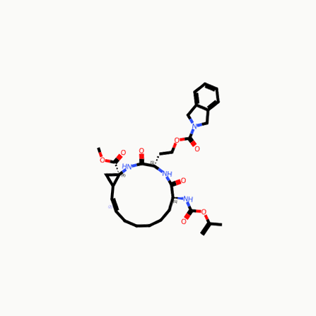 C=C(C)OC(=O)N[C@H]1CCCCC/C=C\C2C[C@@]2(C(=O)OC)NC(=O)[C@H](CCOC(=O)N2Cc3ccccc3C2)NC1=O